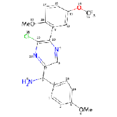 COc1ccc(C(N)c2cnc(-c3cc(OC(F)(F)F)ccc3OC)c(Cl)n2)cc1